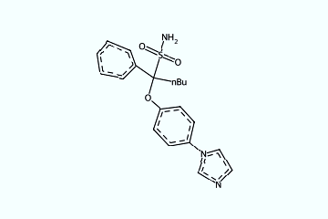 CCCCC(Oc1ccc(-n2ccnc2)cc1)(c1ccccc1)S(N)(=O)=O